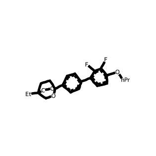 CCCOc1ccc(-c2ccc(C34CCC(CC)(CO3)CO4)cc2)c(F)c1F